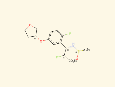 CCOC(=O)[C@H](F)[C@@H](N[S@+]([O-])C(C)(C)C)c1cc(O[C@@H]2CCOC2)ccc1F